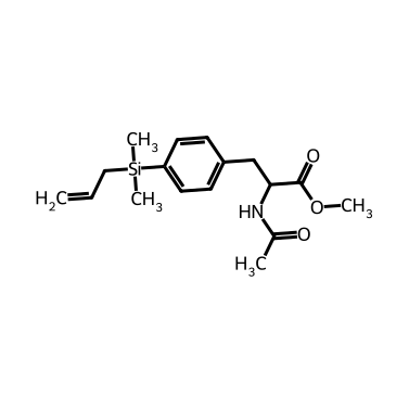 C=CC[Si](C)(C)c1ccc(CC(NC(C)=O)C(=O)OC)cc1